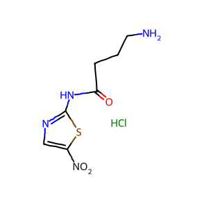 Cl.NCCCC(=O)Nc1ncc([N+](=O)[O-])s1